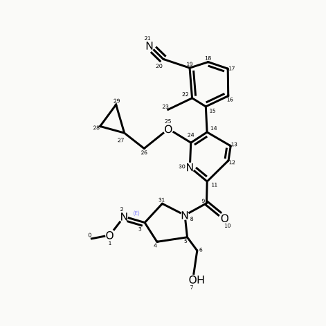 CO/N=C1\CC(CO)N(C(=O)c2ccc(-c3cccc(C#N)c3C)c(OCC3CC3)n2)C1